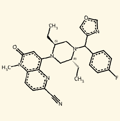 CC[C@H]1CN(C(c2ccc(F)cc2)c2cocn2)[C@H](CC)CN1c1cc(=O)n(C)c2ccc(C#N)nc12